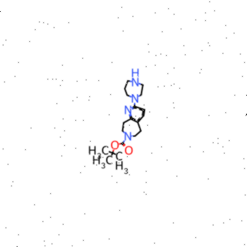 CC(C)(C)OC(=O)N1CCc2ccc(N3CCCNCC3)nc2CC1